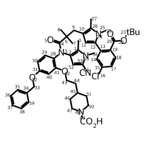 Cc1c(N(C(=O)C(C)(C)Cc2cc(-c3cc(Cl)ccc3C(=O)OC(C)(C)C)n(C)c2C)c2ccc(OCc3ccccc3)cc2OCCC2CCN(C(=O)O)CC2)cc(C#N)n1C